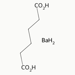 O=C(O)CCCCC(=O)O.[BaH2]